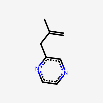 C=C(C)Cc1cnccn1